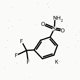 NS(=O)(=O)c1cccc(C(F)(F)F)c1.[K]